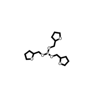 C1COC(COP(OCC2CCCO2)OCC2CCCO2)C1